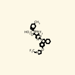 CC1CC2CC(C1)C(NC(=O)c1cnc(N3CC4(CCCCC4)c4cc(O[C@@H]5CCN(CC(F)(F)F)C5)ccc43)nc1C(F)(F)F)(C(=O)O)C2